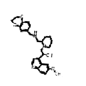 COc1ccc2nccc([C@H](O)CN3CCCCC3CNCc3ccc4c(c3)OCCO4)c2c1